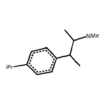 CNC(C)C(C)c1ccc(C(C)C)cc1